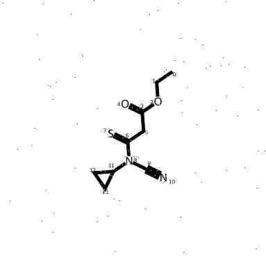 CCOC(=O)CC(=S)N(C#N)C1CC1